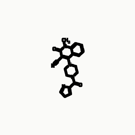 Cn1c(=O)c(C#N)c(N2CCN(C(=O)C3=CCC=N3)CC2)c2ccccc21